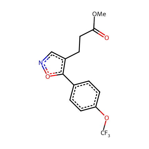 COC(=O)CCc1cnoc1-c1ccc(OC(F)(F)F)cc1